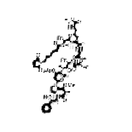 CC[C@H](C)[C@@H]([C@@H](CC(=O)N1CCC[C@H]1[C@H](OC)[C@@H](C)C(=O)N[C@H](C)[C@@H](O)c1ccccc1)OC)N(C)C(=O)[C@@H](NC(=O)[C@H](C(C)C)N(C)C(=O)CNC(=O)[C@H](CCCNC(N)=O)NC(=O)[C@@H](NC(=O)CCCCCN1C(=O)C=CC1=O)C(C)C)C(C)C